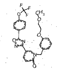 COCCOc1cccc(Cn2cc(-c3noc(-c4ccc(OC(F)(F)F)cc4)n3)ccc2=O)c1